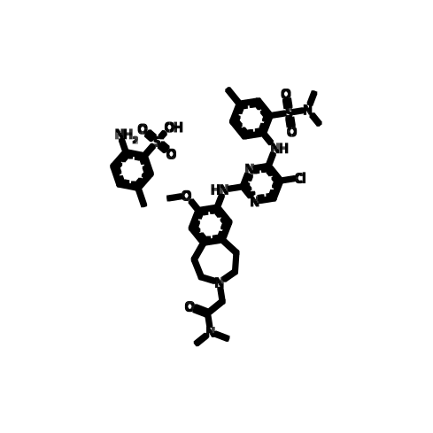 COc1cc2c(cc1Nc1ncc(Cl)c(Nc3ccc(C)cc3S(=O)(=O)N(C)C)n1)CCN(CC(=O)N(C)C)CC2.Cc1ccc(N)c(S(=O)(=O)O)c1